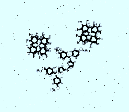 CCC(C)Oc1ccc([S+](c2ccc(OC(C)CC)cc2)c2ccc(Sc3ccc([S+](c4ccc(OC(C)CC)cc4)c4ccc(OC(C)CC)cc4)s3)s2)cc1.Fc1c(F)c(F)c([B-](c2c(F)c(F)c(F)c(F)c2F)(c2c(F)c(F)c(F)c(F)c2F)c2c(F)c(F)c(F)c(F)c2F)c(F)c1F.Fc1c(F)c(F)c([B-](c2c(F)c(F)c(F)c(F)c2F)(c2c(F)c(F)c(F)c(F)c2F)c2c(F)c(F)c(F)c(F)c2F)c(F)c1F